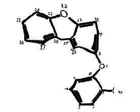 Ic1ccccc1Oc1ccc2oc3ccccc3c2c1